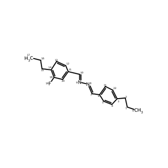 CCCc1ccc(C=NN=Cc2ccc(CCC)c(F)c2)cc1